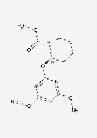 COC(=O)[C@@H]1CCCC[C@H]1Oc1nc(OC)cc(OC)n1